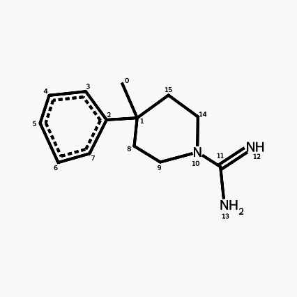 CC1(c2ccccc2)CCN(C(=N)N)CC1